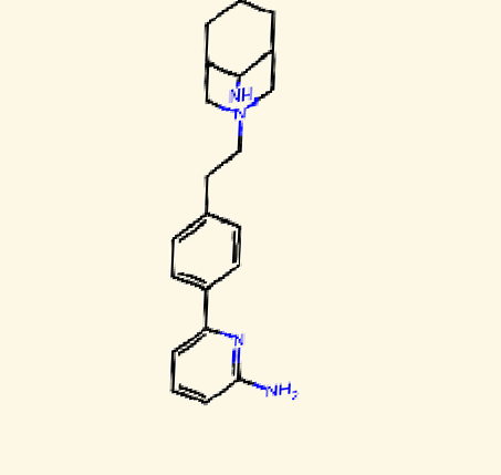 Nc1cccc(-c2ccc(CCN3CC4CCCC(C3)C4N)cc2)n1